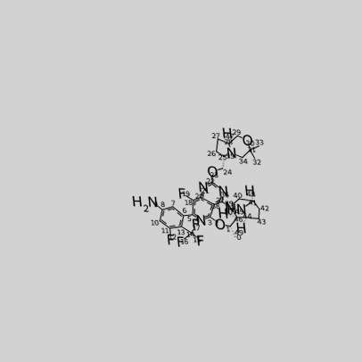 C[C@@H]1Oc2nc(-c3cc(N)cc(F)c3C(F)(F)F)c(F)c3nc(OC[C@@H]4CC[C@H]5COC(C)(C)CN45)nc(c23)N2C[C@H]3CC[C@H](N3)[C@@H]12